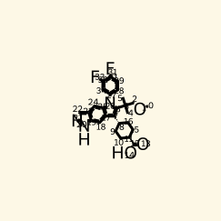 COCC(C)(C)c1c([C@H]2CC[C@H](C(=O)O)CC2)c2cc3[nH]ncc3cc2n1-c1ccc(F)c(F)c1